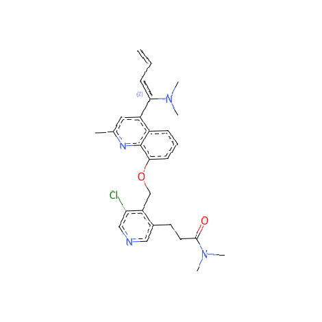 C=C/C=C(/c1cc(C)nc2c(OCc3c(Cl)cncc3CCC(=O)N(C)C)cccc12)N(C)C